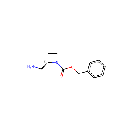 NC[C@H]1CCN1C(=O)OCc1ccccc1